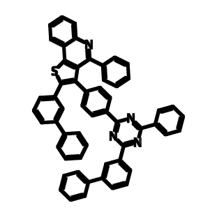 c1ccc(-c2cccc(-c3nc(-c4ccccc4)nc(-c4ccc(-c5c(-c6cccc(-c7ccccc7)c6)sc6c5c(-c5ccccc5)nc5ccccc56)cc4)n3)c2)cc1